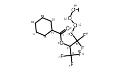 O=C(OC(C(F)(F)F)C(F)(F)SOOO)C1CCCCC1